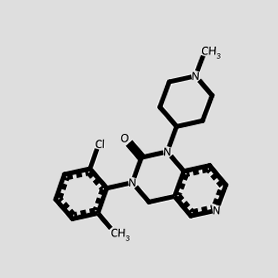 Cc1cccc(Cl)c1N1Cc2cnccc2N(C2CCN(C)CC2)C1=O